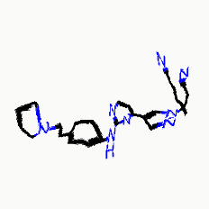 CC(CC#N)(CCC#N)n1cc(-c2ccnc(Nc3ccc(CCN4CCCC4)cc3)n2)cn1